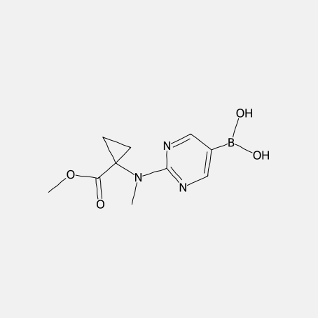 COC(=O)C1(N(C)c2ncc(B(O)O)cn2)CC1